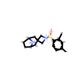 Cc1ccc([S+]([O-])N2CC3(CC4CCC(C3)N4)C2)c(C)c1